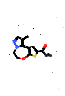 COC(=O)c1cc2c(s1)OCCn1ncc(C)c1-2